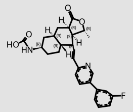 C[C@H]1OC(=O)[C@@H]2C[C@@H]3C[C@H](NC(=O)O)CC[C@H]3[C@H](C=Cc3ccc(-c4cccc(F)c4)cn3)[C@H]12